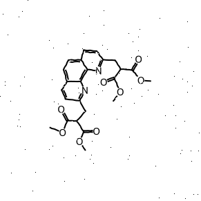 COC(=O)C(Cc1ccc2ccc3ccc(CC(C(=O)OC)C(=O)OC)nc3c2n1)C(=O)OC